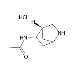 CC(=O)N[C@H]1CC2C[C@H]1CN2.Cl